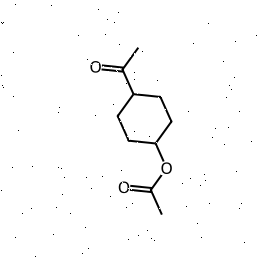 CC(=O)OC1CCC(C(C)=O)CC1